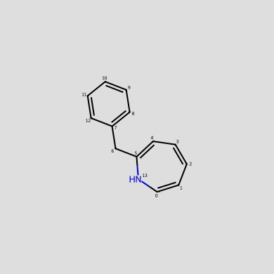 [C]1=CC=CC=C(Cc2ccccc2)N1